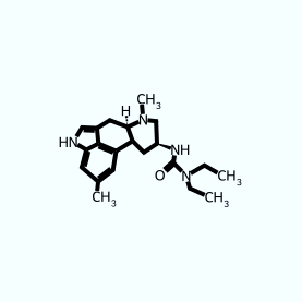 CCN(CC)C(=O)N[C@H]1CC2c3cc(C)cc4[nH]cc(c34)C[C@H]2N(C)C1